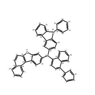 c1ccc(-c2ccc(N(c3ccc4c(c3)oc3ccc5ccccc5c34)c3ccc4c(c3)c3ccccc3n4-c3ccccc3)c3ccccc23)cc1